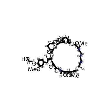 CO[C@H]1C[C@@H]2CC[C@@H](C)[C@@](O)(O2)C(=O)C(=O)N2CCCCC2C(=O)O[C@H]([C@H](C)C[C@@H]2CC[C@@H](OCCO)[C@H](OC)C2)CC(=O)[C@H](C)/C=C(\C)[C@@H](O)[C@@H](OC)C[C@H](C)C[C@H](C)/C=C/C=C/C=C/1C